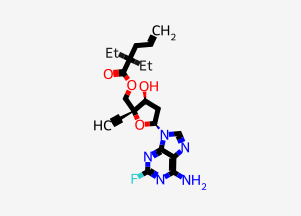 C#C[C@]1(COC(=O)C(CC)(CC)CC=C)O[C@@H](n2cnc3c(N)nc(F)nc32)C[C@@H]1O